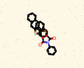 O=C1C2c3c4ccccc4c(c4c3sc3c5cc6ccccc6cc5sc34)C2C(=O)N1c1ccccc1